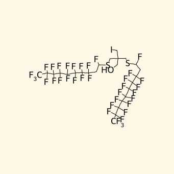 OCC(CI)(CSC(F)CC(F)(F)C(F)(F)C(F)(F)C(F)(F)C(F)(F)C(F)(F)C(F)(F)C(F)(F)F)CSC(F)CC(F)(F)C(F)(F)C(F)(F)C(F)(F)C(F)(F)C(F)(F)C(F)(F)C(F)(F)F